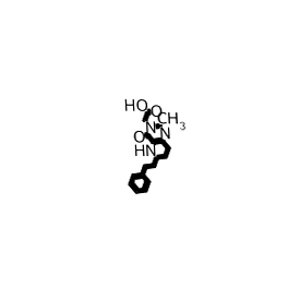 Cc1nc2c(c(=O)n1CC(=O)O)NC(CCc1ccccc1)CC2